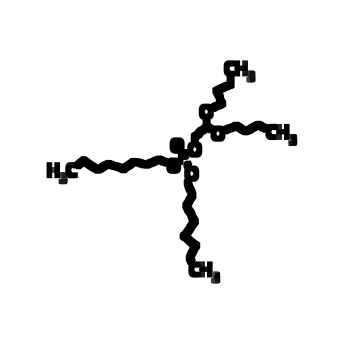 CCCCCCCCOP(=O)(OCCCCCCCC)OCC(OCCCC)OCCCC